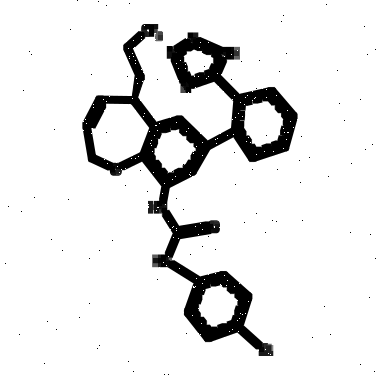 CCc1ccc(NC(=O)Nc2cc(-c3ccccc3-c3nnn[nH]3)cc3c2OCC=C[C@H]3CCC(F)(F)F)cc1